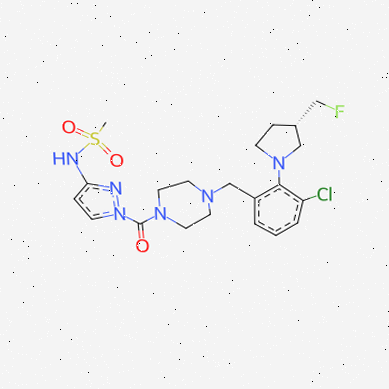 CS(=O)(=O)Nc1ccn(C(=O)N2CCN(Cc3cccc(Cl)c3N3CC[C@H](CF)C3)CC2)n1